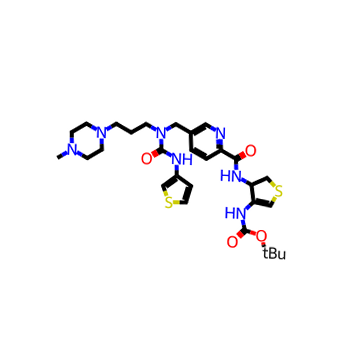 CN1CCN(CCCN(Cc2ccc(C(=O)NC3CSC=C3NC(=O)OC(C)(C)C)nc2)C(=O)Nc2ccsc2)CC1